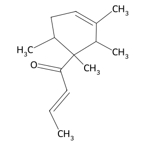 CC=CC(=O)C1(C)C(C)CC=C(C)C1C